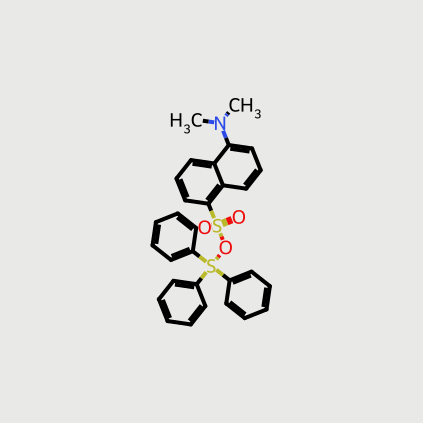 CN(C)c1cccc2c(S(=O)(=O)OS(c3ccccc3)(c3ccccc3)c3ccccc3)cccc12